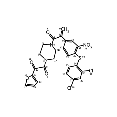 C=C(C(=O)N1CCN(C(=O)C(=O)c2ccco2)CC1)c1ccc(Sc2ccc(Cl)cc2Cl)c([N+](=O)[O-])c1